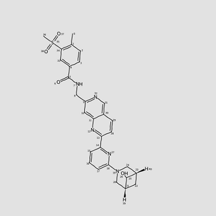 Cc1ccc(C(=O)NCc2cc3nc(-c4cccc(N5C[C@H]6C[C@@H](C5)C6O)n4)ccc3cn2)cc1S(C)(=O)=O